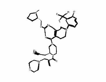 C=C(CN1CCOCC1)C(=O)N1CCN(c2nc(OC[C@@H]3CCCN3C)nc3c2CCN(c2cccc(Cl)c2C(F)(F)F)C3)C[C@@H]1CC#N